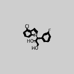 OC[C@@H](O)[C@H](c1cccc(F)c1)n1ccc2c(Cl)cccc21